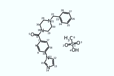 CS(=O)(=O)O.O=C(c1ccc(-n2ccnc2)cc1)N1CCN(Cc2ccccc2)CC1